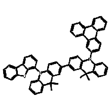 CC1(C)c2ccccc2N(c2ccc3c4ccccc4c4ccccc4c3c2)c2ccc(-c3ccc4c(c3)C(C)(C)c3ccccc3N4c3cccc4c3oc3ccccc34)cc21